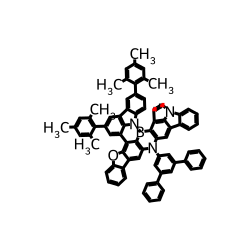 Cc1cc(C)c(-c2ccc3c(c2)c2cc(-c4c(C)cc(C)cc4C)cc4c2n3B2c3c(cc5c(oc6ccccc65)c3-4)N(c3cc(-c4ccccc4)cc(-c4ccccc4)c3)c3cc4c5ccccc5n5c6ccccc6c(c32)c45)c(C)c1